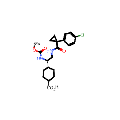 CC(C)(C)OC(=O)NC(CNC(=O)C1(c2ccc(Cl)cc2)CC1)[C@H]1CC[C@H](C(=O)O)CC1